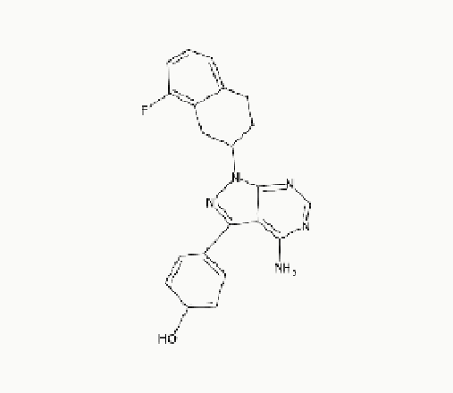 Nc1ncnc2c1c(-c1ccc(O)cc1)nn2C1CCc2cccc(F)c2C1